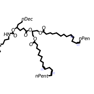 CCCCC/C=C\C/C=C\CCCCCCCC(=O)OCC(COC(=O)CCCCCCC/C=C\C/C=C\CCCCC)OC(=O)CCC(CCCCCCCCCCCC)OC(=O)NCCCn1ccnc1C